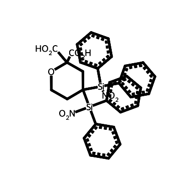 O=C(O)C1(C(=O)O)CC([Si](c2ccccc2)(c2ccccc2)[N+](=O)[O-])([Si](c2ccccc2)(c2ccccc2)[N+](=O)[O-])CCO1